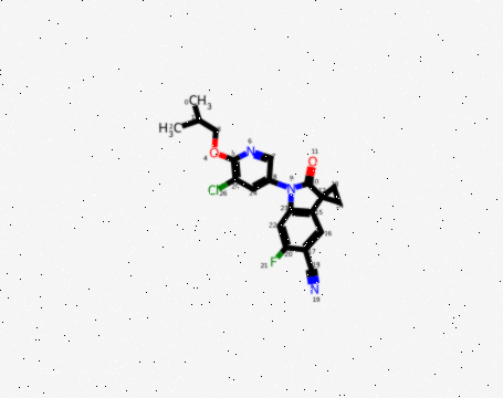 CC(C)COc1ncc(N2C(=O)C3(CC3)c3cc(C#N)c(F)cc32)cc1Cl